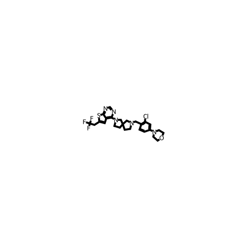 FC(F)(F)Cc1cc2c(N3CCC4(CCN(Cc5ccc(N6CCOCC6)cc5Cl)C4)C3)ncnc2s1